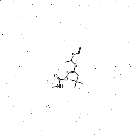 C=CSC(C)SC(CC(C)(C)C)=NOC(=O)NC